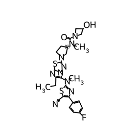 CCc1nc2sc(N3CC[C@H](N(C)C(=O)N4CC(O)C4)C3)nn2c1N(C)c1nc(-c2ccc(F)cc2)c(C#N)s1